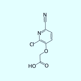 N#Cc1ccc(OCC(=O)O)c(Cl)n1